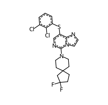 FC1(F)CCC2(CCN(c3ncc(Sc4cccc(Cl)c4Cl)c4nccn34)CC2)C1